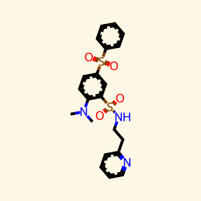 CN(C)c1ccc(S(=O)(=O)c2ccccc2)cc1S(=O)(=O)NCCc1ccccn1